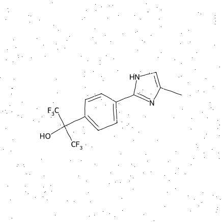 Cc1c[nH]c(-c2ccc(C(O)(C(F)(F)F)C(F)(F)F)cc2)n1